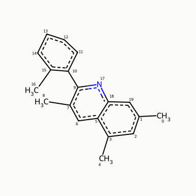 Cc1cc(C)c2cc(C)c(-c3ccccc3C)nc2c1